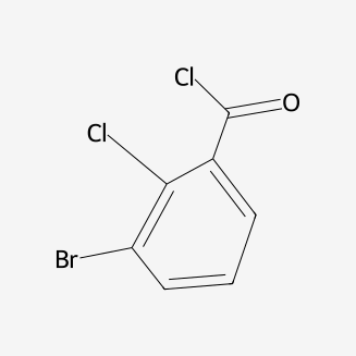 O=C(Cl)c1cccc(Br)c1Cl